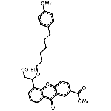 CCOC(=O)CC(OCCCCCCc1ccc(OC)cc1)c1cccc2c(=O)c3cc(C(=O)OC)ccc3oc12